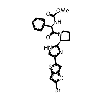 COC(=O)N[C@@H](C(=O)N1CCC[C@H]1c1nc(-c2cc3oc(Br)cc3s2)c[nH]1)c1ccccc1